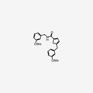 COc1cccc(CNC(=O)c2ccc(Cc3cccc(OC)c3)s2)c1